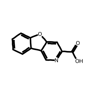 O=C(O)c1cc2oc3ccccc3c2cn1